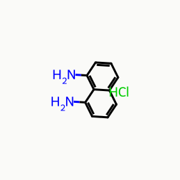 Cl.Nc1cccc2cccc(N)c12